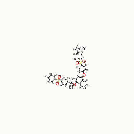 CCCC(C)(C)c1ccc(S(=O)(=O)c2ccc(Oc3ccc(OC(C)(CC)c4ccc(S(=O)(=O)c5ccc(C)cc5)cc4)c4ccccc34)cc2)cc1